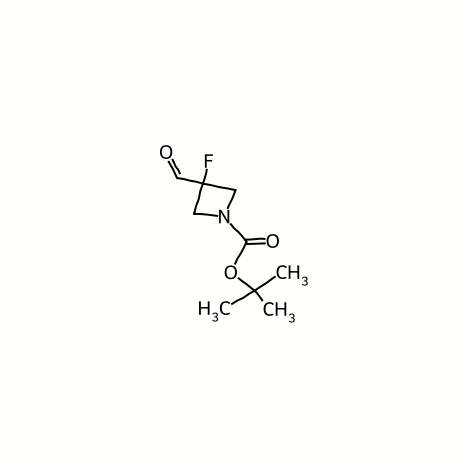 CC(C)(C)OC(=O)N1CC(F)(C=O)C1